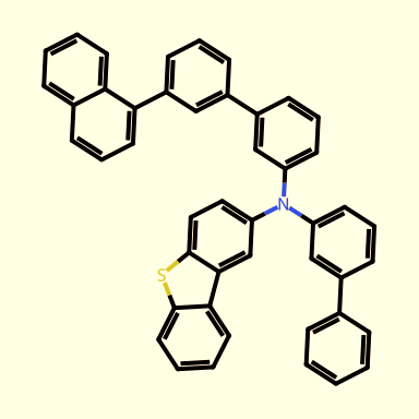 c1ccc(-c2cccc(N(c3cccc(-c4cccc(-c5cccc6ccccc56)c4)c3)c3ccc4sc5ccccc5c4c3)c2)cc1